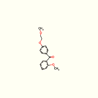 COCCOc1ccc(C(=O)c2ccccc2OC)cc1